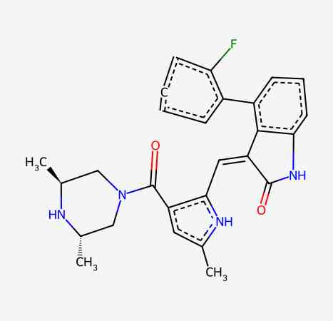 Cc1cc(C(=O)N2C[C@H](C)N[C@@H](C)C2)c(/C=C2\C(=O)Nc3cccc(-c4ccccc4F)c32)[nH]1